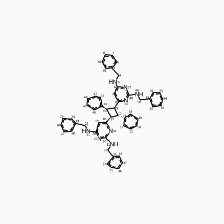 c1ccc(CNc2cc(C3[C@H](c4ccccc4)[C@@H](c4cc(NCc5ccccc5)nc(NCc5ccccc5)n4)[C@H]3c3ccccc3)nc(NCc3ccccc3)n2)cc1